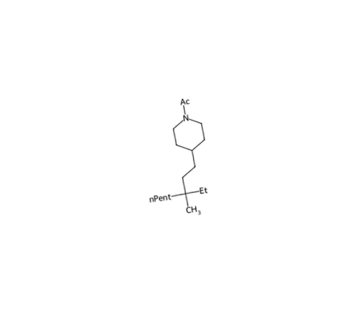 CCCCCC(C)(CC)CCC1CCN(C(C)=O)CC1